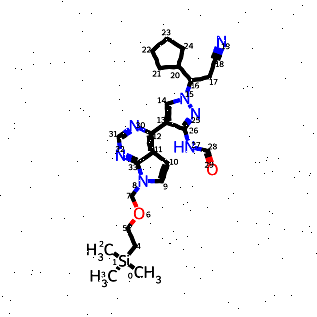 C[Si](C)(C)CCOCn1ccc2c(-c3cn(C(CC#N)C4CCCC4)nc3NC=O)ncnc21